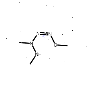 CNN(C)/N=N\OC